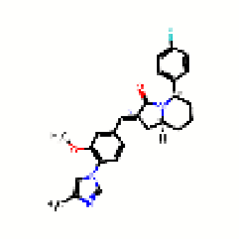 COc1cc(/C=C2\C[C@@H]3CCC[C@H](c4ccc(F)cc4)N3C2=O)ccc1-n1cnc(C)c1